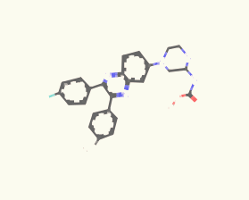 CC(C)(C)OC(=O)NC1CN(c2ccc3nc(-c4ccc(F)cc4)c(-c4ccc(C#N)cc4)nc3c2)CCN1